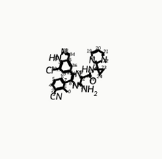 Cc1c(C#N)cccc1-c1nc(N)c(C(=O)NC2(c3ncccn3)CC2)nc1-c1cc(Cl)c2[nH]ncc2c1